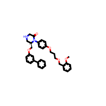 COc1ccccc1COCCCOc1ccc(N2C(=O)CNC[C@@H]2COc2cccc(-c3ccccc3)c2)cc1